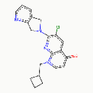 O=c1ccn(CC2CCC2)c2nc(N3Cc4cccnc4C3)c(Cl)cc12